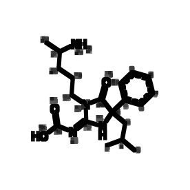 CC(C)CC1(c2ccccc2)NC(=NC(=O)O)N(CCCC(C)N)C1=O